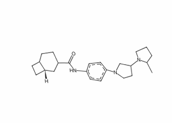 CC1CCCN1C1CCN(c2ccc(NC(=O)C3CCC4CC[C@H]4C3)cc2)C1